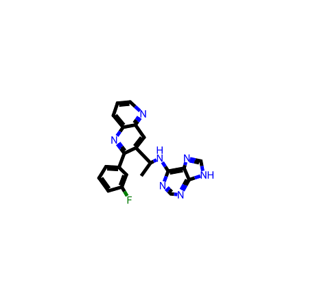 CC(Nc1ncnc2[nH]cnc12)c1cc2ncccc2nc1-c1cccc(F)c1